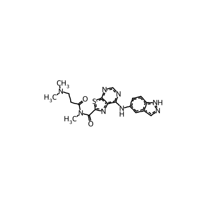 CN(C)CCC(=O)N(C)C(=O)c1nc2c(Nc3ccc4[nH]ncc4c3)ncnc2s1